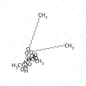 CCCCCCCCCCCCCCCCOC(OCCCCCCCCCCCCCCCC)OC1C[C@H](n2cc(C)c(=O)[nH]c2=O)OC1OP(=O)(O)OC